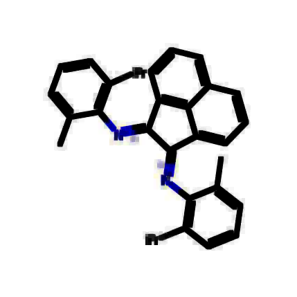 Cc1cccc(C(C)C)c1/N=C1/C(=N/c2c(C)cccc2C(C)C)c2cccc3cccc1c23